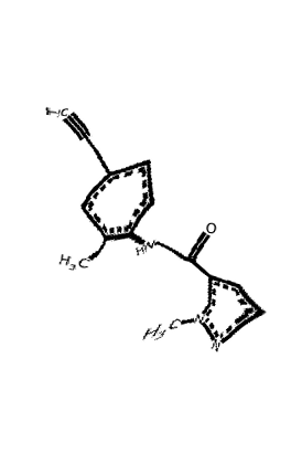 C#Cc1ccc(NC(=O)c2ccnn2C)c(C)c1